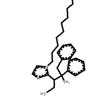 CCCCCCCCCCn1ccnc1C(CC)C(C)(Cc1ccccc1)c1ccccc1